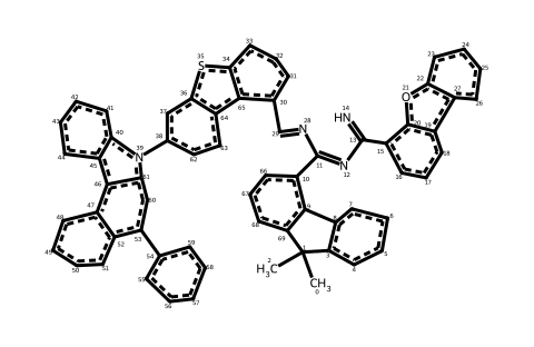 CC1(C)c2ccccc2-c2c(C(=N/C(=N)c3cccc4c3oc3ccccc34)/N=C/c3cccc4sc5cc(-n6c7ccccc7c7c8ccccc8c(-c8ccccc8)cc76)ccc5c34)cccc21